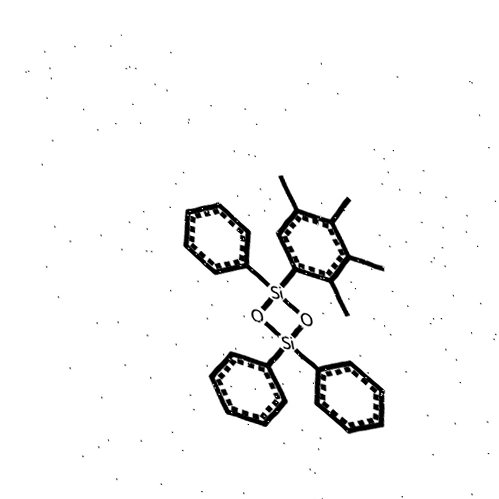 Cc1cc([Si]2(c3ccccc3)O[Si](c3ccccc3)(c3ccccc3)O2)c(C)c(C)c1C